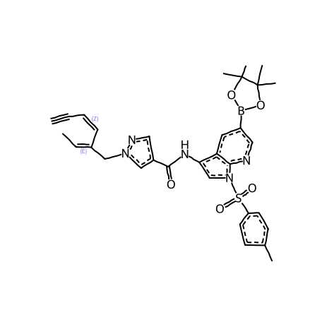 C#C/C=C\C(=C/C)Cn1cc(C(=O)Nc2cn(S(=O)(=O)c3ccc(C)cc3)c3ncc(B4OC(C)(C)C(C)(C)O4)cc23)cn1